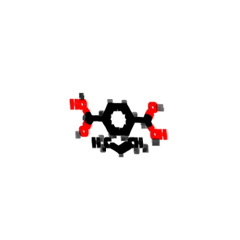 C=CC.O=C(O)c1ccc(C(=O)O)cc1